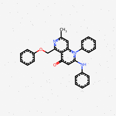 Cc1cc2c(c(COc3ccccc3)n1)c(=O)cc(Nc1ccccc1)n2-c1ccccc1